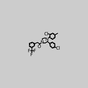 Cc1ccc(N2CCN(C(=O)Cc3cccc(C(F)(F)F)c3)CC2c2ccc(Cl)cc2)c(Cl)c1